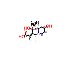 C/C(C(=O)O)=C(\CN1CCC(O)CC1)C(=O)O.[NaH].[NaH]